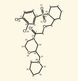 O=C(COCC1CCCCN1S(=O)(=O)c1ccc(Cl)c(Cl)c1)N1CCOC(CN2CCCCC2)C1